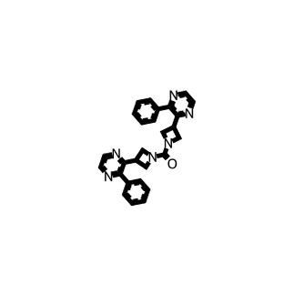 O=C(N1CC(c2nccnc2-c2ccccc2)C1)N1CC(c2nccnc2-c2ccccc2)C1